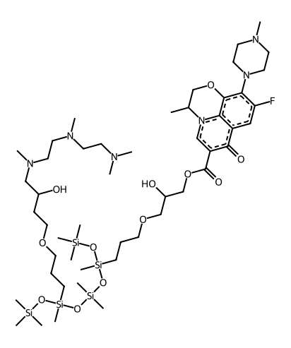 CC1COc2c(N3CCN(C)CC3)c(F)cc3c(=O)c(C(=O)OCC(O)COCCC[Si](C)(O[Si](C)(C)C)O[Si](C)(C)O[Si](C)(CCCOCCC(O)CN(C)CCN(C)CCN(C)C)O[Si](C)(C)C)cn1c23